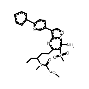 CCC(CCc1nc2c(-c3ccc(-c4ccccc4)nc3)cnn2c(N)c1S(C)(=O)=O)N(C)C(=O)NOC